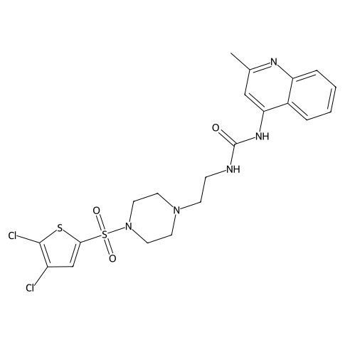 Cc1cc(NC(=O)NCCN2CCN(S(=O)(=O)c3cc(Cl)c(Cl)s3)CC2)c2ccccc2n1